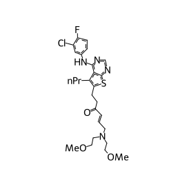 CCCc1c(CCC(=O)/C=C/CN(CCOC)CCOC)sc2ncnc(Nc3ccc(F)c(Cl)c3)c12